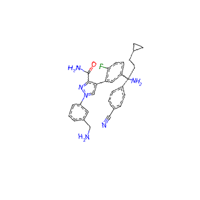 N#Cc1ccc(C(N)(CCC2CC2)c2ccc(F)c(-c3cn(-c4cccc(CN)c4)nc3C(N)=O)c2)cc1